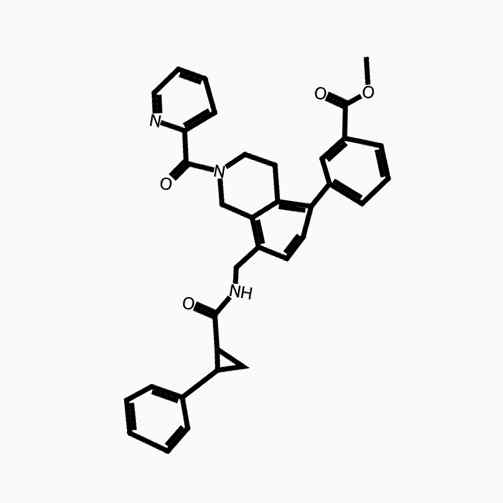 COC(=O)c1cccc(-c2ccc(CNC(=O)C3CC3c3ccccc3)c3c2CCN(C(=O)c2ccccn2)C3)c1